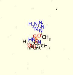 CCCCCOC(=O)C(C)(C)NP(=O)(CO[C@H](C)Cn1cnc2c(N)ncnc21)ON=C(C)C